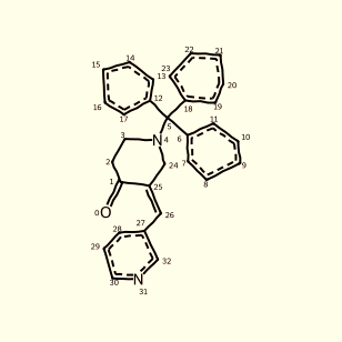 O=C1CCN(C(c2ccccc2)(c2ccccc2)c2ccccc2)CC1=Cc1cccnc1